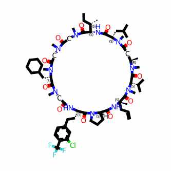 C=CC[C@]1(C)NC(=O)[C@@H]2CCCN2C(=O)[C@H](CCc2ccc(C(F)(F)F)c(Cl)c2)NC(=O)CN(C)C(=O)[C@H](CC2CCCCC2)N(C)C(=O)CN(C)C(=O)CN(C)C(=O)[C@H]([C@@H](C)CC)NC(=O)[C@H](CC(C)C)N(C)C(=O)C[C@@H](C)N(C)C(=O)[C@H](C(C)C)N(C)C1=O